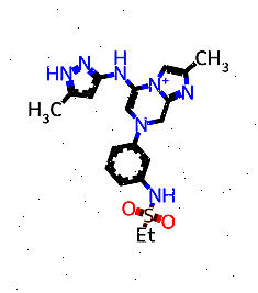 CCS(=O)(=O)Nc1cccc(N2C=C(Nc3cc(C)[nH]n3)[N+]3C=C(C)N=C3C2)c1